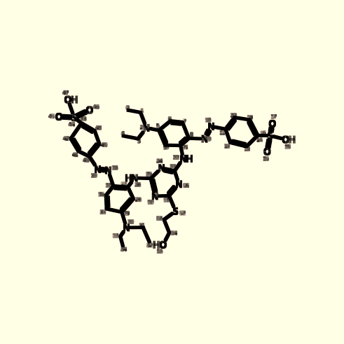 CCN(CC)c1ccc(/N=N/c2ccc(S(=O)(=O)O)cc2)c(Nc2nc(Nc3cc(N(CC)CC)ccc3/N=N/c3ccc(S(=O)(=O)O)cc3)nc(SCCO)n2)c1